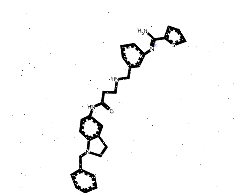 N/C(=N\c1cccc(CNCCC(=O)Nc2ccc3c(c2)CCN3Cc2ccccc2)c1)c1cccs1